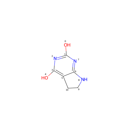 Oc1nc(O)c2c(n1)NCC2